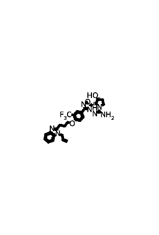 C=CCn1c(CCCOc2ccc(-c3noc([C@@H]4[C@@H](O)CCN4C(=N)N)n3)cc2C(F)(F)F)nc2ccccc21